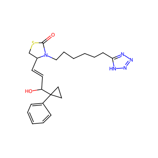 O=C1SCC(/C=C/C(O)C2(c3ccccc3)CC2)N1CCCCCCc1nnn[nH]1